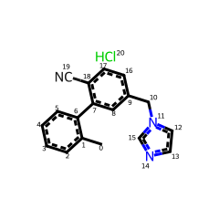 Cc1ccccc1-c1cc(Cn2ccnc2)ccc1C#N.Cl